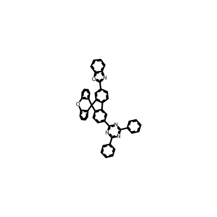 c1ccc(-c2nc(-c3ccccc3)nc(-c3ccc4c(c3)-c3ccc(-c5nc6ccccc6o5)cc3C43c4ccccc4Oc4ccccc43)n2)cc1